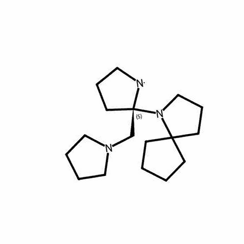 C1CCN(C[C@@]2(N3CCCC34CCCC4)CCC[N]2)C1